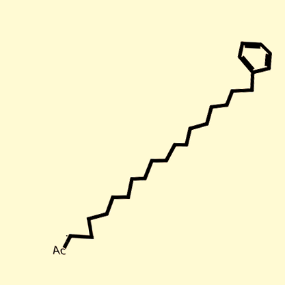 CC(=O)[CH]CCCCCCCCCCCCCCCCCc1ccccc1